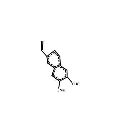 C=Cc1ccc2cc(C=O)c(SC)cc2c1